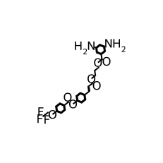 Nc1cc(N)cc(C(=O)OCCCOC(=O)C=Cc2ccc(OC(=O)c3ccc(OCC(F)(F)F)cc3)cc2)c1